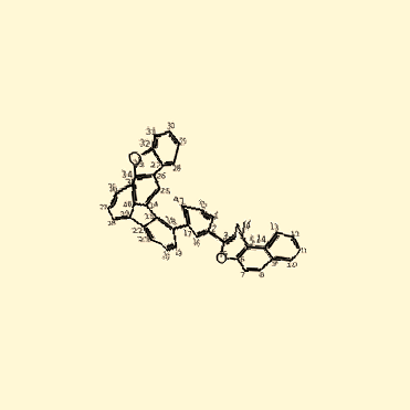 c1cc(-c2nc3c(ccc4ccccc43)o2)cc(-c2cccc3c2-c2cc4c5ccccc5oc4c4cccc-3c24)c1